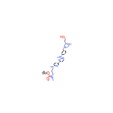 CN(CCCN(C)c1ccc(-c2ccnc(Nc3cccc(CN4CCNC(CCO)C4)c3)n2)cn1)C(=O)OC(C)(C)C